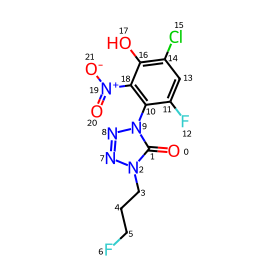 O=c1n(CCCF)nnn1-c1c(F)cc(Cl)c(O)c1[N+](=O)[O-]